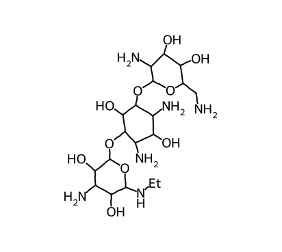 CCNC1OC(OC2C(N)C(O)C(N)C(OC3OC(CN)C(O)C(O)C3N)C2O)C(O)C(N)C1O